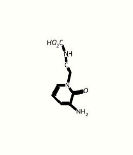 Nc1cccn(CCNC(=O)O)c1=O